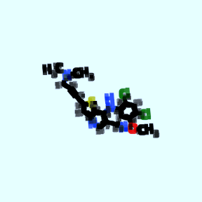 COc1cc(Nc2c(C#N)cnc3cc(C#CCN(C)C)sc23)c(Cl)cc1Cl